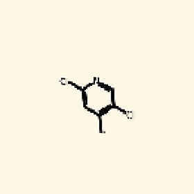 [CH2]c1cc(Cl)ncc1Cl